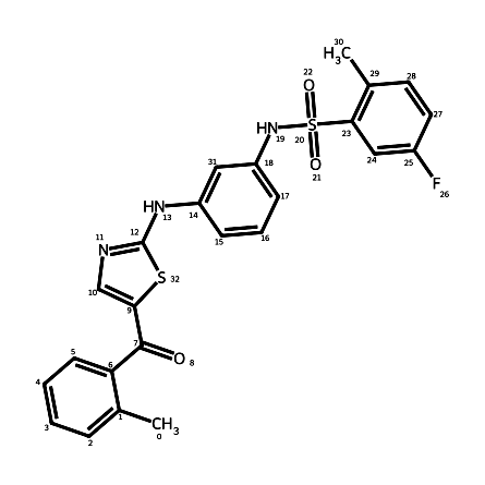 Cc1ccccc1C(=O)c1cnc(Nc2cccc(NS(=O)(=O)c3cc(F)ccc3C)c2)s1